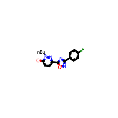 CCCCn1nc(-c2nc(-c3ccc(F)cc3)no2)ccc1=O